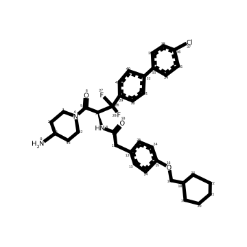 NC1CCN(C(=O)[C@H](NC(=O)Cc2ccc(OCC3CCCCC3)cc2)C(F)(F)c2ccc(-c3ccc(Cl)cc3)cc2)CC1